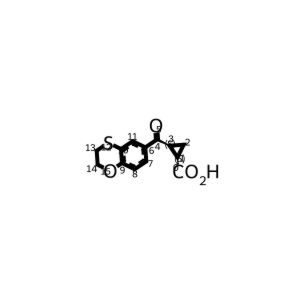 O=C(O)[C@H]1C[C@@H]1C(=O)c1ccc2c(c1)SCCO2